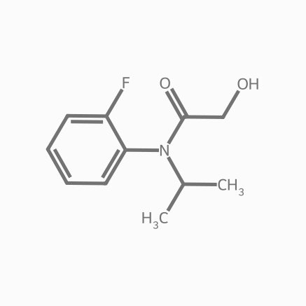 CC(C)N(C(=O)CO)c1ccccc1F